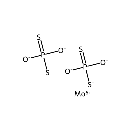 [Mo+6].[O-]P([O-])(=S)[S-].[O-]P([O-])(=S)[S-]